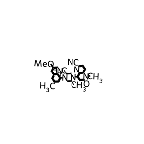 COc1cnc2c(N3C[C@H](C)N(c4cc(=O)n(C)c5ccc(C#N)nc45)C[C@@H]3C)cc(C)cc2c1